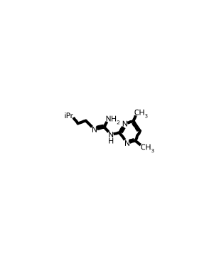 Cc1cc(C)nc(N/C(N)=N/CCC(C)C)n1